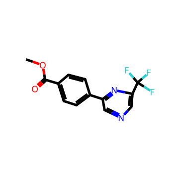 COC(=O)c1ccc(-c2cncc(C(F)(F)F)n2)cc1